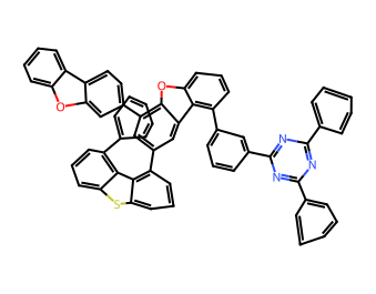 c1ccc(-c2nc(-c3ccccc3)nc(-c3cccc(-c4cccc5oc6c(-c7ccc8c(c7)oc7ccccc78)cc(-c7cccc8sc9cccc(-c%10ccccc%10)c9c78)cc6c45)c3)n2)cc1